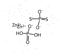 O=P([O-])(O)O.[O-]P([O-])(=S)[S-].[Zn+2].[Zn+2]